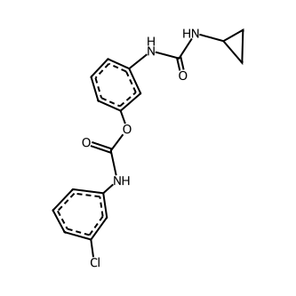 O=C(Nc1cccc(OC(=O)Nc2cccc(Cl)c2)c1)NC1CC1